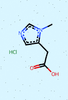 Cl.Cn1cncc1CC(=O)O